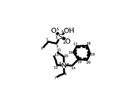 CCCS(=O)(=O)O.CC[N+](CC)(CC)Cc1ccccc1